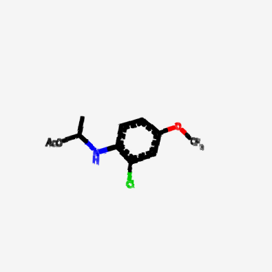 CC(=O)OC(C)Nc1ccc(OC(F)(F)F)cc1Cl